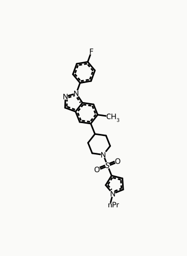 CCCn1ccc(S(=O)(=O)N2CCC(c3cc4cnn(-c5ccc(F)cc5)c4cc3C)CC2)c1